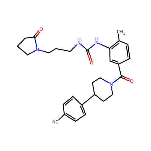 Cc1ccc(C(=O)N2CCC(c3ccc(C#N)cc3)CC2)cc1NC(=O)NCCCN1CCCC1=O